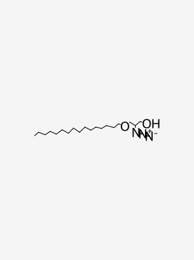 CCCCCCCCCCCCCCCCOCC(CO)N=[N+]=[N-]